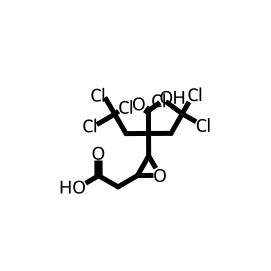 O=C(O)CC1OC1C(CC(Cl)(Cl)Cl)(CC(Cl)(Cl)Cl)C(=O)O